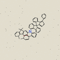 CC1C=CC(c2ccccc2N(c2ccc3c(c2)C(C)(C)C2=C3C(C)CC=C2)c2cccc3c2-c2ccccc2C32c3ccccc3-c3c(-c4ccccc4)cccc32)=CC1